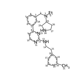 CCN(Cc1cccc(-c2ccnc(NCCc3cccc(C)c3)n2)c1)C1CCNC1